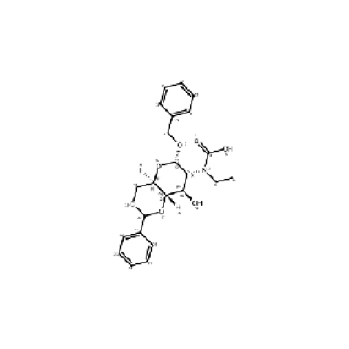 CCN(C(=O)O)[C@H]1[C@@H](OCc2ccccc2)O[C@@H]2COC(c3ccccc3)O[C@H]2[C@@H]1O